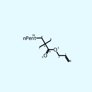 C=CCOC(=O)C(C)(C)CCCCCC